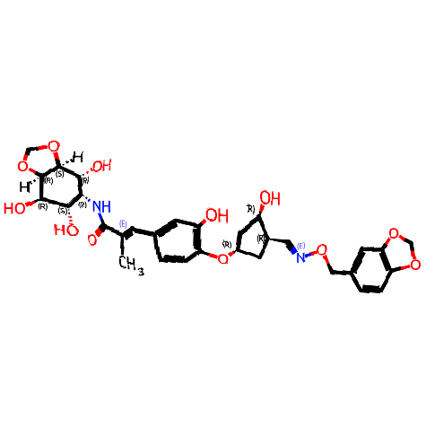 C/C(=C\c1ccc(O[C@H]2C[C@@H](O)[C@@H](/C=N/OCc3ccc4c(c3)OCO4)C2)c(O)c1)C(=O)N[C@@H]1[C@H](O)[C@@H](O)[C@H]2OCO[C@H]2[C@@H]1O